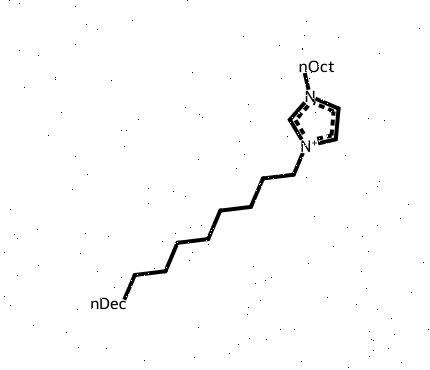 CCCCCCCCCCCCCCCCCC[n+]1ccn(CCCCCCCC)c1